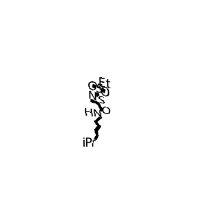 CCS(=O)(=O)c1ncc(C(=O)NCC/C=C/CC(C)C)s1